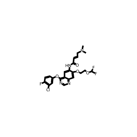 CN(C)C/C=C/C(=O)Nc1cc2c(Oc3ccc(F)c(Cl)c3)ncnc2cc1OCCOC(F)F